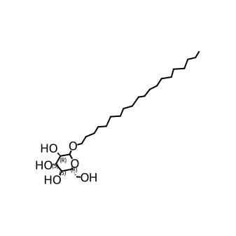 CCCCCCCCCCCCCCCCCCCCOC1O[C@H](CO)[C@@H](O)[C@H](O)[C@H]1O